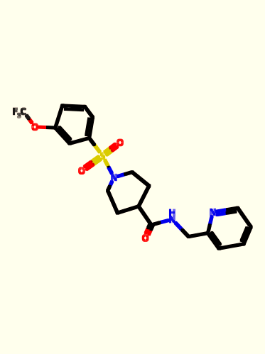 O=C(NCc1ccccn1)C1CCN(S(=O)(=O)c2cccc(OC(F)(F)F)c2)CC1